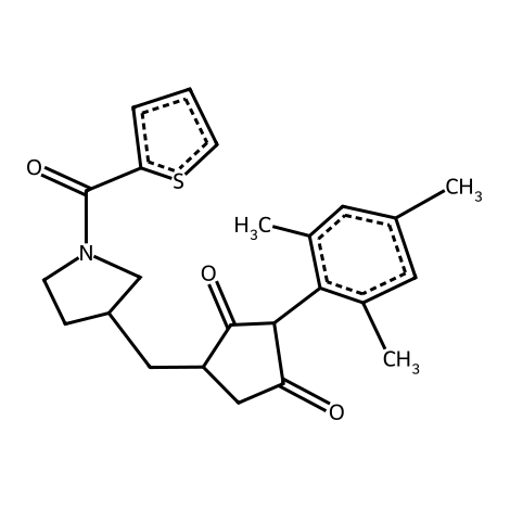 Cc1cc(C)c(C2C(=O)CC(CC3CCN(C(=O)c4cccs4)C3)C2=O)c(C)c1